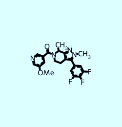 COc1cncc(C(=O)N2CCc3c(nn(C)c3-c3cc(F)c(F)c(F)c3)C2C)c1